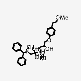 COCCc1ccc(OCC(O)CNC(C)(C)CN(C)C(c2ccccc2)c2ccccc2)cc1.Cl.Cl